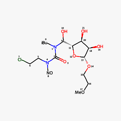 CCC(C)N(C(=O)N(CCCl)N=O)C(O)[C@H]1O[C@@H](OCCOC)[C@H](O)[C@@H]1O